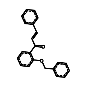 O=C(/C=C/c1ccccc1)c1ccccc1OCc1ccccc1